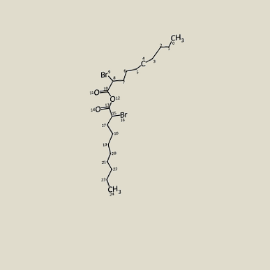 CCCCCCCCC(Br)C(=O)OC(=O)C(Br)CCCCCCCC